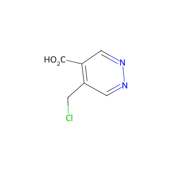 O=C(O)c1cnncc1CCl